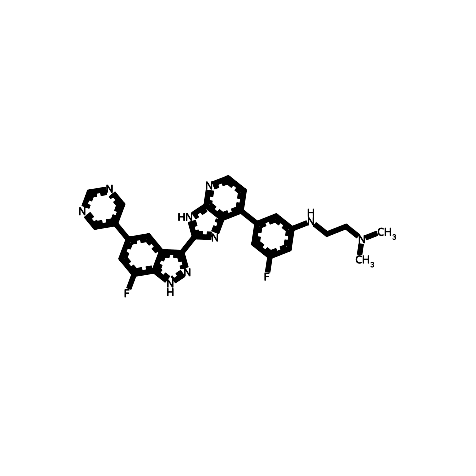 CN(C)CCNc1cc(F)cc(-c2ccnc3[nH]c(-c4n[nH]c5c(F)cc(-c6cncnc6)cc45)nc23)c1